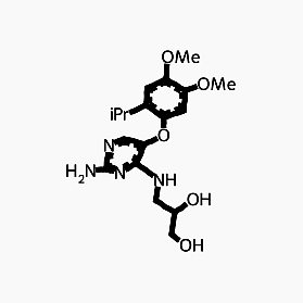 COc1cc(Oc2cnc(N)nc2NCC(O)CO)c(C(C)C)cc1OC